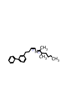 CCCCC(C)/C(C)=N/C=C\CCc1cccc(-c2ccccc2)c1